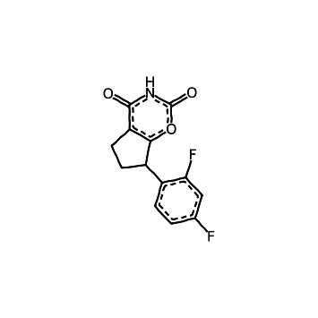 O=c1[nH]c(=O)c2c(o1)C(c1ccc(F)cc1F)CC2